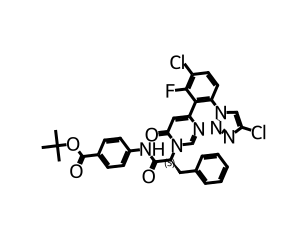 CC(C)(C)OC(=O)c1ccc(NC(=O)[C@H](Cc2ccccc2)n2cnc(-c3c(-n4cc(Cl)nn4)ccc(Cl)c3F)cc2=O)cc1